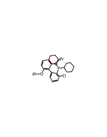 CC(C)Oc1cccc(OC(C)C)c1-c1cccc(Cl)c1P(C1CCCCC1)C1CCCCC1